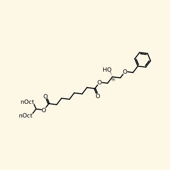 CCCCCCCCC(CCCCCCCC)OC(=O)CCCCCCC(=O)OC[C@H](O)COCc1ccccc1